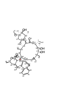 CC[C@H]1OC(=O)[C@H](C)[C@@H](O[C@H]2C[C@@](C)(OC)[C@@H](O)[C@H](C)O2)[C@H](C)[C@@H](O[C@@H]2O[C@H](C)C[C@H](N(C)C)[C@H]2Oc2cnc3ccccc3c2)[C@](C)(O)C[C@@H](C)CN(C)[C@H](C)[C@@H](O)[C@]1(C)O